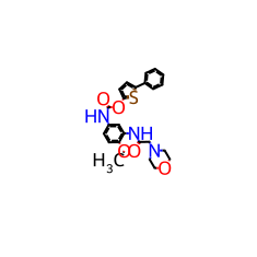 COc1ccc(NC(=O)Oc2ccc(-c3ccccc3)s2)cc1NC(=O)CN1CCOCC1